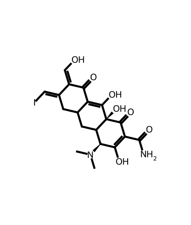 CN(C)[C@@H]1C(O)=C(C(N)=O)C(=O)[C@@]2(O)C(O)=C3C(=O)C(=C\O)/C(=C/I)CC3CC12